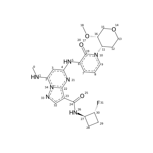 CNc1cc(Nc2cccn([C@H]3CCOC[C@H]3OC)c2=O)nc2c(C(=O)N[C@@H]3CC[C@H]3F)cnn12